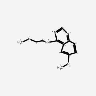 COCCNc1ncnc2ccc(OC)cc12